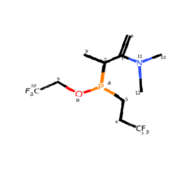 C=C(C(C)P(CCC(F)(F)F)OCC(F)(F)F)N(C)C